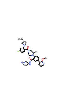 CCOc1ncccc1-c1ccc(N2CCN(C(=O)c3ccc(F)cc3N3CC[C@H](NC)C3)C[C@H]2CC)c(C(=O)N[C@@H]2CCNC2)c1